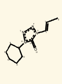 C/C=C/n1nnn(C2CCCCC2)c1=O